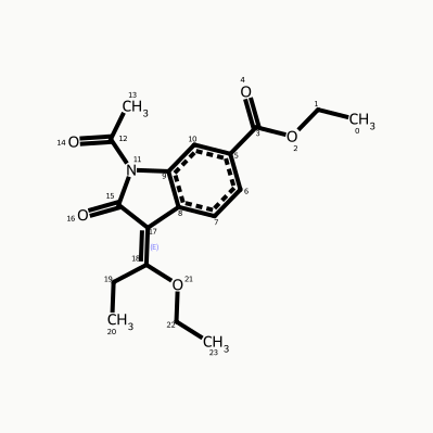 CCOC(=O)c1ccc2c(c1)N(C(C)=O)C(=O)/C2=C(\CC)OCC